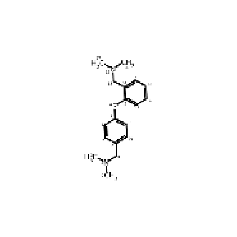 CN(C)Cc1ccc(Sc2ccccc2CN(C)C)cc1